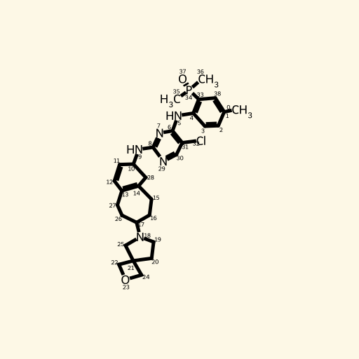 Cc1ccc(Nc2nc(NC3C=CC4=C(CCC(N5CCC6(COC6)C5)CC4)C3)ncc2Cl)c(P(C)(C)=O)c1